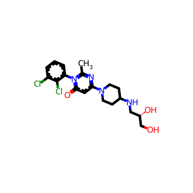 Cc1nc(N2CCC(NC[C@H](O)CO)CC2)cc(=O)n1-c1cccc(Cl)c1Cl